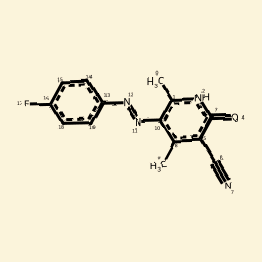 Cc1[nH]c(=O)c(C#N)c(C)c1N=Nc1ccc(F)cc1